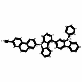 N#Cc1ccc2c(ccc3cc(-n4c5ccccc5c5c(-c6ccc7c8ccccc8n(-c8ccccc8)c7c6)cccc54)ccc32)c1